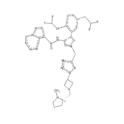 CN1CCC[C@H]1CN1CC(n2nnc(Cn3cc(NC(=O)c4cnn5cccnc45)c(-c4cc(CC(F)F)ccc4OC(F)F)n3)n2)C1